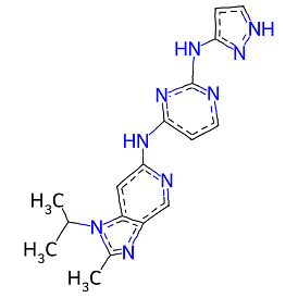 Cc1nc2cnc(Nc3ccnc(Nc4cc[nH]n4)n3)cc2n1C(C)C